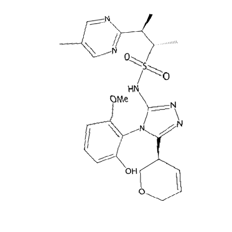 COc1cccc(O)c1-n1c(NS(=O)(=O)[C@@H](C)[C@H](C)c2ncc(C)cn2)nnc1[C@H]1C=CCOC1